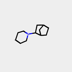 [CH]1CCN(C2CC3CCC2C3)CC1